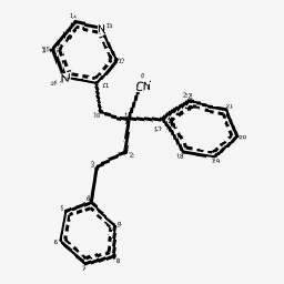 N#CC(CCc1ccccc1)(Cc1cnccn1)c1ccccc1